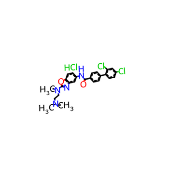 CN(C)CCN(C)c1nc2cc(NC(=O)c3ccc(-c4ccc(Cl)cc4Cl)cc3)ccc2o1.Cl